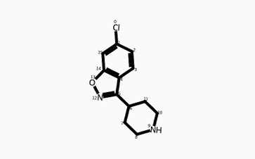 Clc1ccc2c(C3CCNCC3)noc2c1